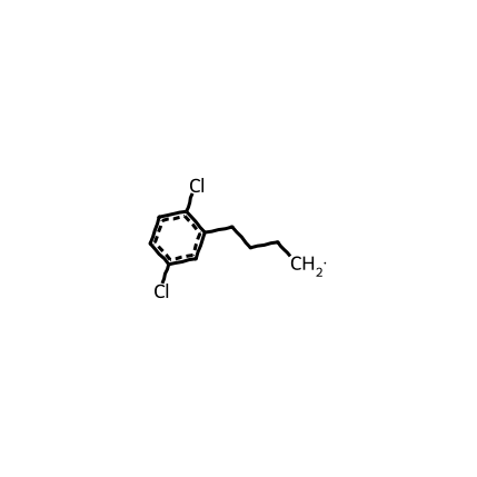 [CH2]CCCc1cc(Cl)ccc1Cl